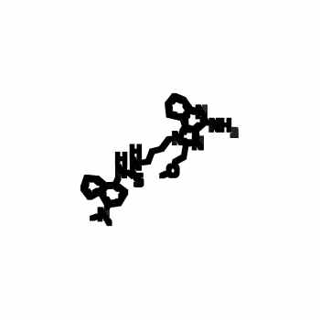 COCCc1nc2c(N)nc3ccccc3c2n1CCCCNC(=S)Nc1ccc(N(C)C)c2ccccc12